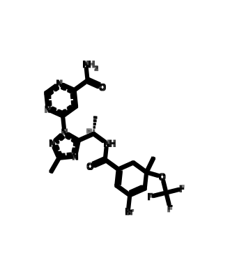 Cc1nc([C@H](C)NC(=O)C2=CC(Br)=CC(C)(OC(F)(F)F)C2)n(-c2cc(C(N)=O)ncn2)n1